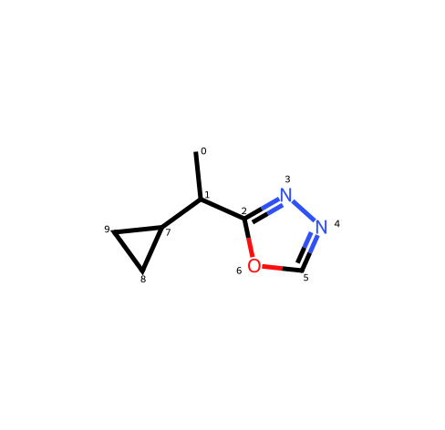 CC(c1nnco1)C1CC1